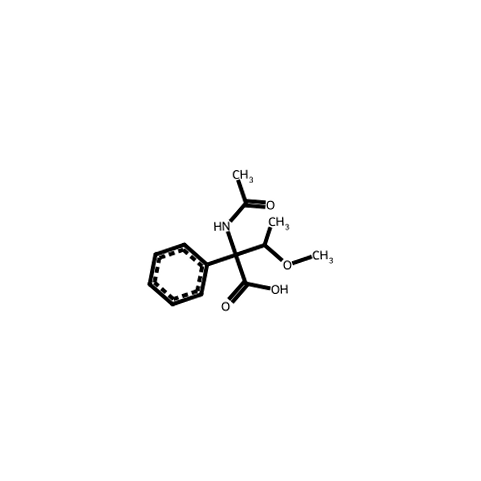 COC(C)C(NC(C)=O)(C(=O)O)c1ccccc1